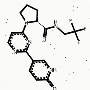 O=C(NCC(F)(F)F)[C@H]1CCCN1c1ccnc(-c2ccc(=O)[nH]c2)n1